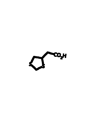 O=C(O)CC1CSCS1